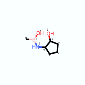 CB(O)NC1CCCC1O